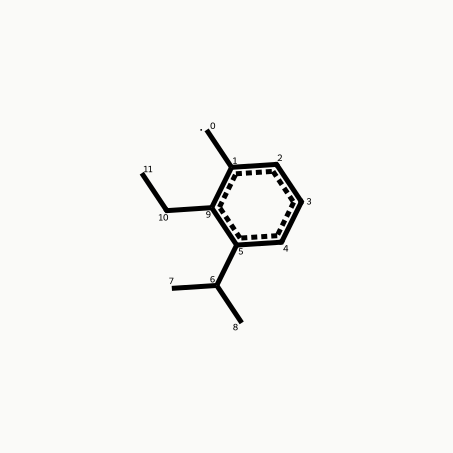 [CH2]c1cccc(C(C)C)c1CC